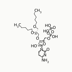 CCCCCOC[C@H](CO[C@H]1[C@@H](O)[C@H](n2ccc(N)nc2=O)O[C@@H]1COP(=O)(O)OP(=O)(O)O)OCCCCC